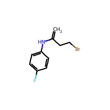 C=C(CCBr)Nc1ccc(F)cc1